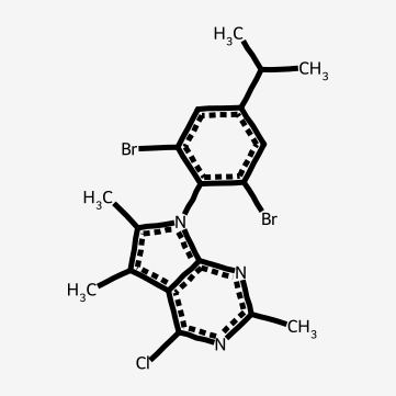 Cc1nc(Cl)c2c(C)c(C)n(-c3c(Br)cc(C(C)C)cc3Br)c2n1